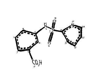 O=C(O)c1cccc(NS(=O)(=O)c2ccccn2)c1